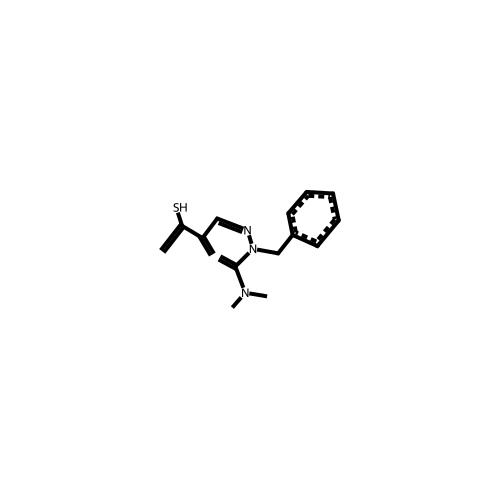 C=C(S)C(=C)/C=N\N(Cc1ccccc1)C(=C)N(C)C